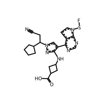 N#CCC(C1CCCC1)n1cc(-c2ncnc3c2ccn3SF)c(NC2CC(C(=O)O)C2)n1